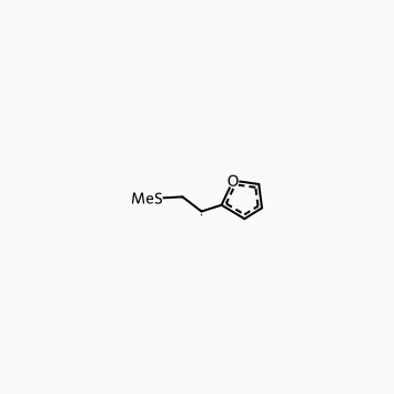 CSC[CH]c1ccco1